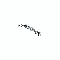 O=C(O)N1CCC(COc2ncc(-c3ccc(S(=O)(=O)CCO)cc3)cn2)CC1